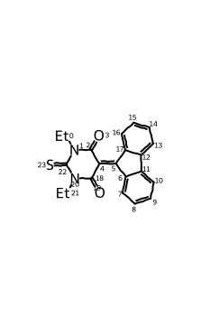 CCN1C(=O)C(=C2c3ccccc3-c3ccccc32)C(=O)N(CC)C1=S